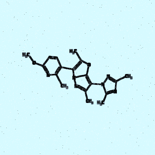 COc1ccc(-c2c(C)oc3c(-n4nc(C)nc4C)c(C)nn23)c(C)n1